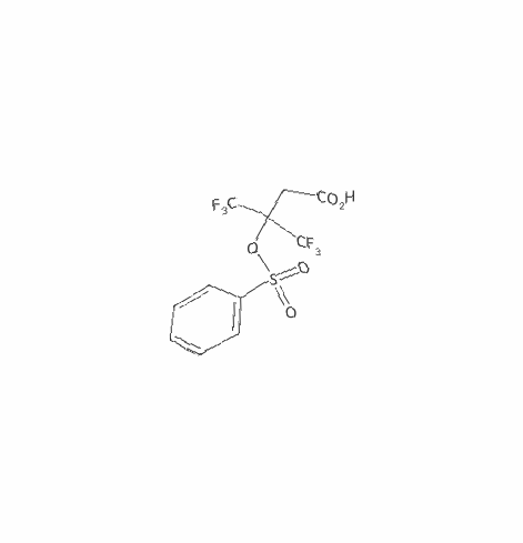 O=C(O)CC(OS(=O)(=O)c1ccccc1)(C(F)(F)F)C(F)(F)F